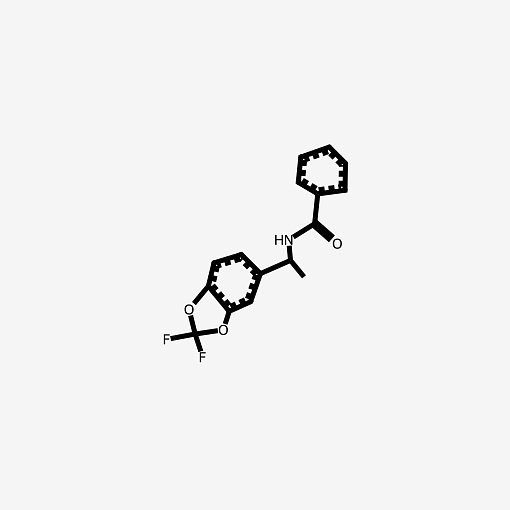 CC(NC(=O)c1ccccc1)c1ccc2c(c1)OC(F)(F)O2